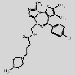 Cc1sc2c(c1C)C(c1ccc(Cl)cc1)=NC(CNC(=O)CCCN1CCN(C)CC1)c1nnc(C)n1-2